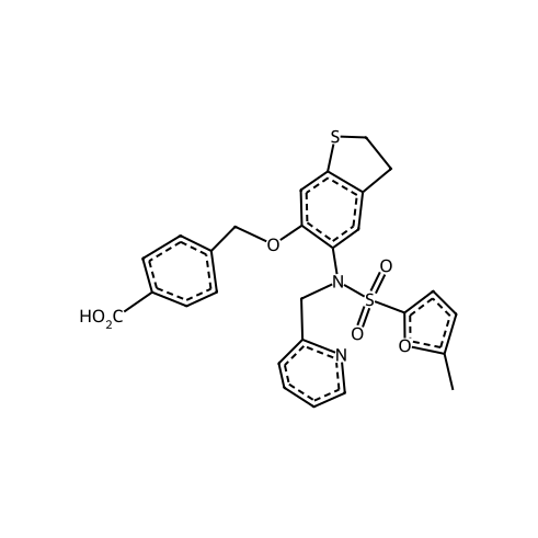 Cc1ccc(S(=O)(=O)N(Cc2ccccn2)c2cc3c(cc2OCc2ccc(C(=O)O)cc2)SCC3)o1